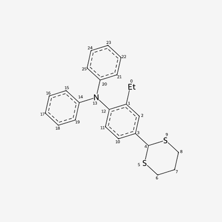 CCc1cc(C2SCCCS2)ccc1N(c1ccccc1)c1ccccc1